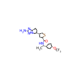 CC(NC(=O)c1cc(-c2ccc3nc(N)nn3c2)cs1)c1ccc(OC(F)(F)F)cc1